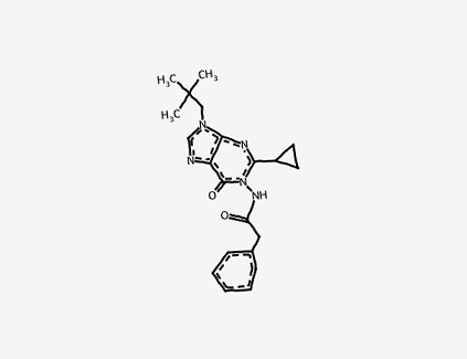 CC(C)(C)Cn1cnc2c(=O)n(NC(=O)Cc3ccccc3)c(C3CC3)nc21